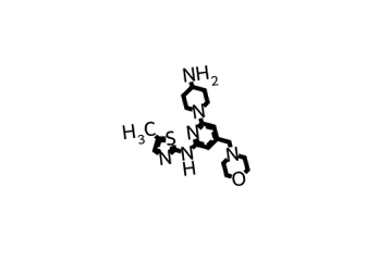 Cc1cnc(Nc2cc(CN3CCOCC3)cc(N3CCC(N)CC3)n2)s1